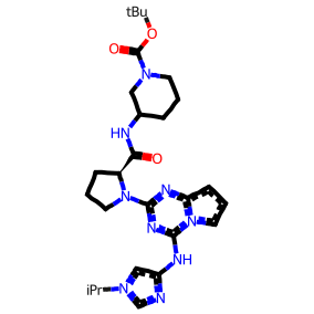 CC(C)n1cnc(Nc2nc(N3CCC[C@H]3C(=O)NC3CCCN(C(=O)OC(C)(C)C)C3)nc3cccn23)c1